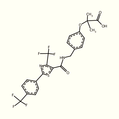 CC(C)(Oc1ccc(CNC(=O)c2sc(-c3ccc(C(F)(F)F)cc3)nc2C(F)(F)F)cc1)C(=O)O